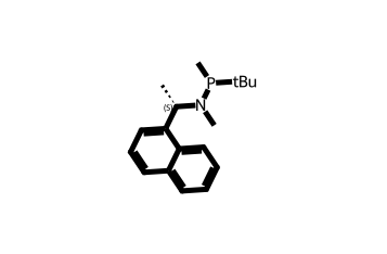 C[C@@H](c1cccc2ccccc12)N(C)P(C)C(C)(C)C